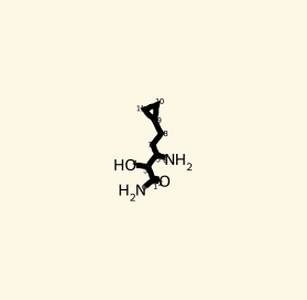 NC(=O)C(O)C(N)CCC1CC1